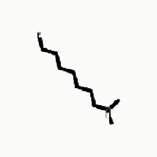 C[SiH](C)CCCCCCCF